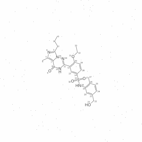 CCCc1nc(C)c2c(=O)[nH]c(-c3cc(S(=O)(=O)Nc4cc(CO)ccc4C)ccc3OCC)nn12